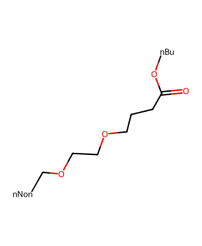 CCCCCCCCCCOCCOCCCC(=O)OCCCC